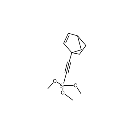 CO[Si](C#CC12C=CC(CC1)C2)(OC)OC